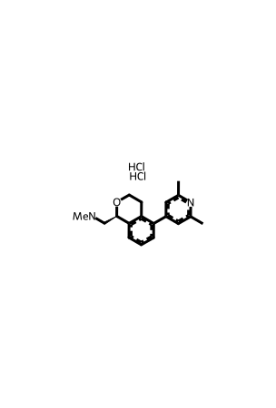 CNC[C@H]1OCCc2c(-c3cc(C)nc(C)c3)cccc21.Cl.Cl